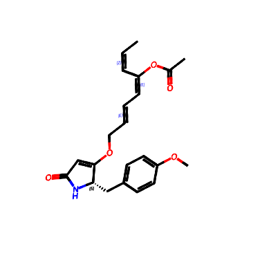 C\C=C/C(=C\C=C\COC1=CC(=O)N[C@H]1Cc1ccc(OC)cc1)OC(C)=O